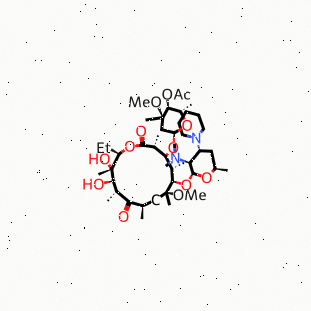 CC[C@H]1OC(=O)[C@H](C)[C@@H](O[C@H]2C[C@@](C)(OC)[C@@H](OC(C)=O)[C@H](C)O2)[C@H](C)[C@@H](O[C@@H]2O[C@H](C)C[C@@H](N3CCCCC3)[C@@H]2N(C)C)[C@@](C)(OC)C[C@@H](C)C(=O)[C@H](C)[C@@H](O)[C@]1(C)O